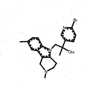 Cc1ccc2c(c1)c1c(n2CC(C)(O)c2ccc(Br)nc2)CCN(C)C1